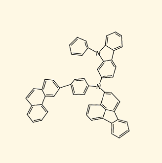 c1ccc(-n2c3ccccc3c3ccc(N(c4ccc(-c5ccc6ccc7ccccc7c6c5)cc4)c4ccc5c6c(cccc46)-c4ccccc4-5)cc32)cc1